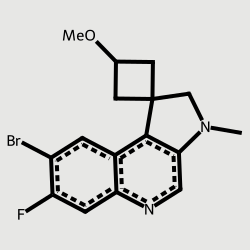 COC1CC2(C1)CN(C)c1cnc3cc(F)c(Br)cc3c12